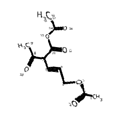 CC(=O)OCC=CC(C(C)=O)C(=O)OC(C)=O